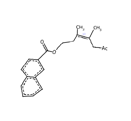 CC(=O)C/C(C)=C(/C)CCOC(=O)c1ccc2ccccc2c1